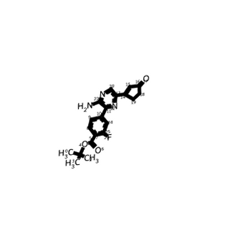 CC(C)(C)OC(=O)c1ccc(-c2nc(C3=CC(=O)CC3)cnc2N)cc1F